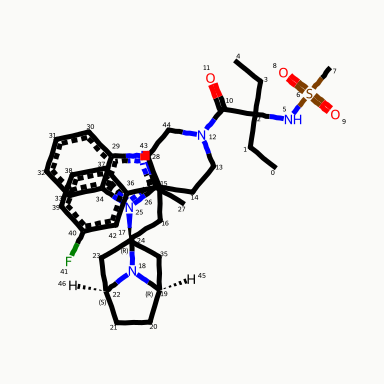 CCC(CC)(NS(C)(=O)=O)C(=O)N1CCC(CCN2[C@@H]3CC[C@H]2C[C@@H](n2c(C)nc4ccccc42)C3)(c2cccc(F)c2)CC1